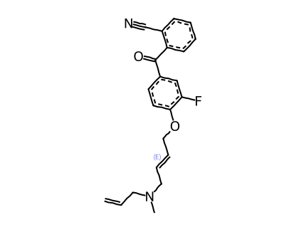 C=CCN(C)C/C=C/COc1ccc(C(=O)c2ccccc2C#N)cc1F